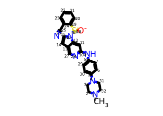 CN1CCN(c2ccc(Nc3cc4c(ccn4[S+]([O-])c4ccccc4C#N)cn3)cc2)CC1